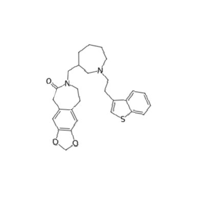 O=C1Cc2cc3c(cc2CCN1CC1CCCCN(CCc2csc4ccccc24)C1)OCO3